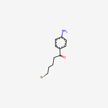 Nc1ccc(C(=O)CCCCBr)cc1